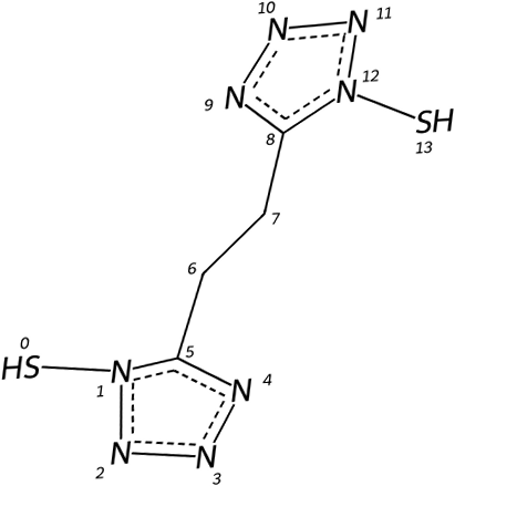 Sn1nnnc1CCc1nnnn1S